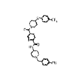 N#Cc1ccc(CN2CCC(NC(=O)c3ccc(C(=O)N4CCC(Oc5ccc(C(F)(F)F)cc5)CC4)cn3)CC2)cc1